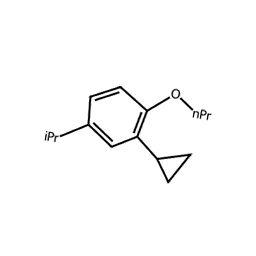 [CH2]C(C)c1ccc(OCCC)c(C2CC2)c1